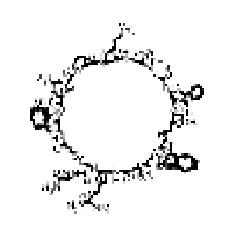 CCCC[C@H]1C(=O)N(C)[C@@H](CCCC)C(=O)N[C@@H](CCCNC(=N)N)C(=O)N[C@H](C(=O)NCC(N)=O)CSCC(=O)N[C@@H](Cc2ccccc2)C(=O)N(C)[C@@H](C)C(=O)N[C@@H](CC(N)=O)C(=O)N2CCC[C@H]2C(=O)N[C@@H](CCCCN)C(=O)N[C@@H](CC(C)C)C(=O)N(C)CC(=O)N[C@@H](Cc2c[nH]c3ccccc23)C(=O)N[C@@H](CO)C(=O)N[C@@H](Cc2c[nH]c3ccccc23)C(=O)N1C